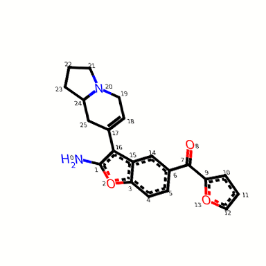 Nc1oc2ccc(C(=O)c3ccco3)cc2c1C1=CCN2CCCC2C1